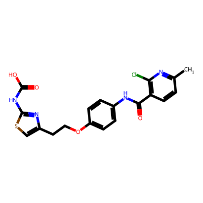 Cc1ccc(C(=O)Nc2ccc(OCCc3csc(NC(=O)O)n3)cc2)c(Cl)n1